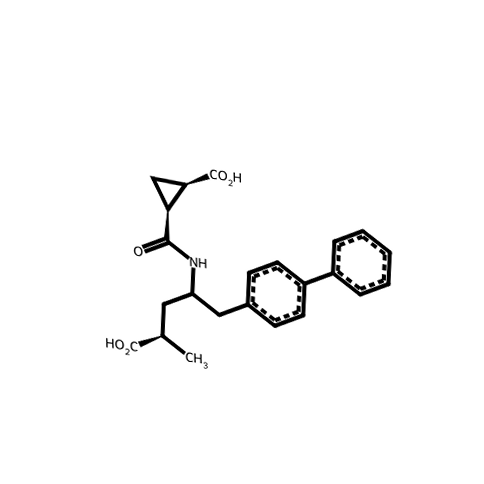 C[C@H](CC(Cc1ccc(-c2ccccc2)cc1)NC(=O)[C@H]1C[C@H]1C(=O)O)C(=O)O